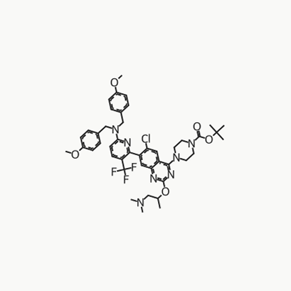 COc1ccc(CN(Cc2ccc(OC)cc2)c2ccc(C(F)(F)F)c(-c3cc4nc(OC(C)CN(C)C)nc(N5CCN(C(=O)OC(C)(C)C)CC5)c4cc3Cl)n2)cc1